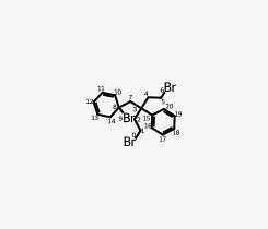 BrCCC(CCBr)(CC1(Br)C=CC=CC1)c1ccccc1